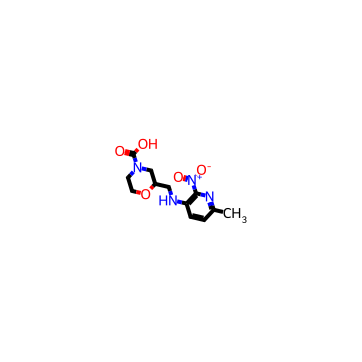 Cc1ccc(NCC2CN(C(=O)O)CCO2)c([N+](=O)[O-])n1